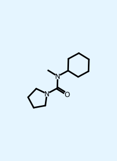 CN(C(=O)N1CCCC1)C1CCCCC1